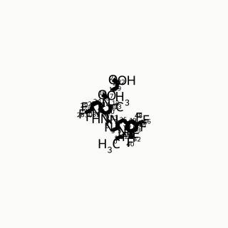 CCCNc1cnc(N[C@H]2C[C@@H](CC)N(C(=O)OCCC(=O)O)c3ccc(C(F)(F)F)nc32)nc1Cc1cc(C(F)(F)F)cc(C(F)(F)F)c1